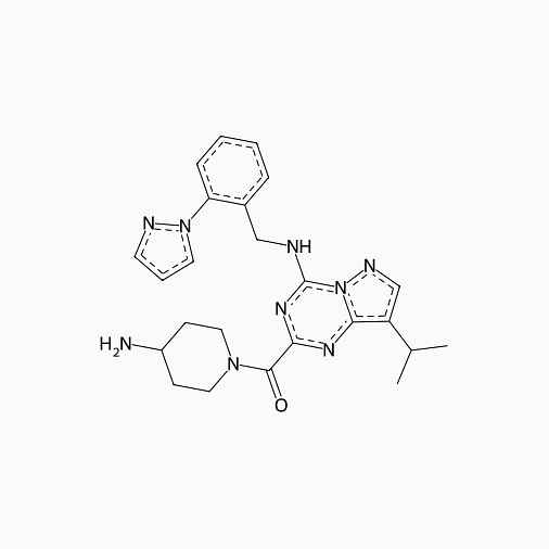 CC(C)c1cnn2c(NCc3ccccc3-n3cccn3)nc(C(=O)N3CCC(N)CC3)nc12